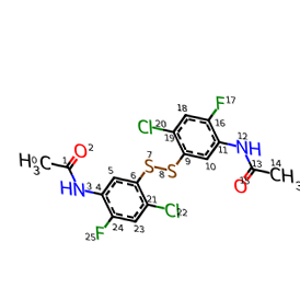 CC(=O)Nc1cc(SSc2cc(NC(C)=O)c(F)cc2Cl)c(Cl)cc1F